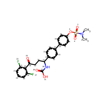 CN(C)S(=O)(=O)Oc1ccc(-c2ccc(C(CCC(=O)c3c(F)cccc3F)NC(=O)O)cc2)cc1